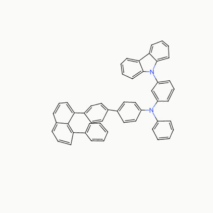 c1ccc(-c2cccc3cccc(-c4ccc(-c5ccc(N(c6ccccc6)c6cccc(-n7c8ccccc8c8ccccc87)c6)cc5)cc4)c23)cc1